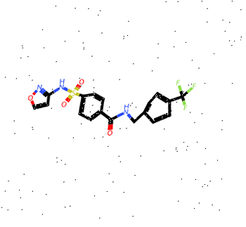 O=C(NCc1ccc(C(F)(F)F)cc1)c1ccc(S(=O)(=O)Nc2ccon2)cc1